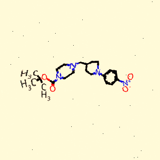 CC(C)(C)OC(=O)N1CCN(CC2CCN(c3ccc([N+](=O)[O-])cc3)CC2)CC1